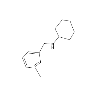 Cc1cccc(CNC2CCCCC2)c1